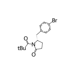 CC(C)(C)C(=O)N1C(=O)CC[C@H]1Cc1ccc(Br)cc1